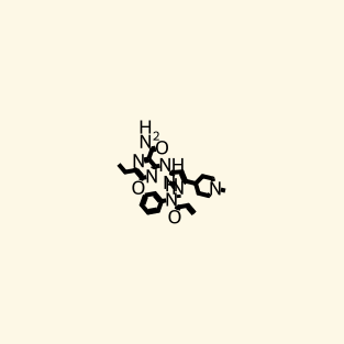 C=CC(=O)Nc1cccc(Oc2nc(Nc3cc(C4CCN(C)CC4)n(C)n3)c(C(N)=O)nc2CC)c1